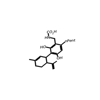 C=C(C)C1CCC(C)=CC1c1c(O)cc(CCCCC)c(CNC(=O)O)c1O